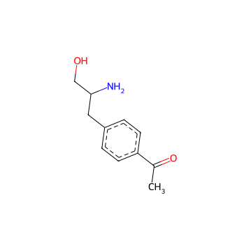 CC(=O)c1ccc(CC(N)CO)cc1